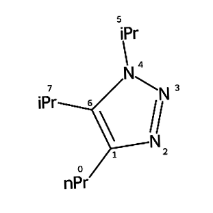 CCCc1nnn(C(C)C)c1C(C)C